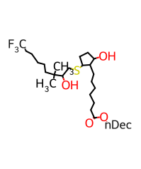 CCCCCCCCCCOC(=O)CCCCCCC1C(O)CCC1SCC(O)C(C)(C)CCCCCC(F)(F)F